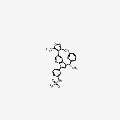 Cc1noc(C)c1-c1cnc2c(-c3cccc(NS(C)(=O)=O)c3)cn([C@@H](C)c3ccccn3)c2c1